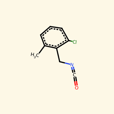 Cc1cccc(Cl)c1CN=C=O